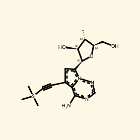 C[C@H]1[C@H](O)[C@H](c2cc(C#C[Si](C)(C)C)c3c(N)ncnn23)O[C@@H]1CO